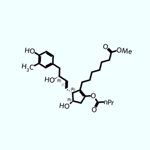 CCCC(=O)OC1=C(CCCCCCC(=O)OC)[C@@H](/C=C/[C@H](O)Cc2ccc(O)c(C)c2)[C@H](O)C1